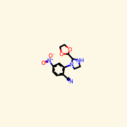 N#Cc1ccc([N+](=O)[O-])cc1N1CCNC1C1OCCO1